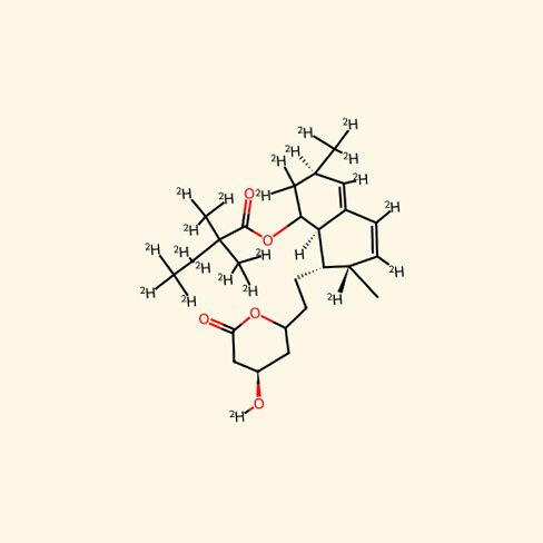 [2H]O[C@H]1CC(=O)OC(CC[C@@H]2[C@@H]3C(=C([2H])[C@]([2H])(C([2H])([2H])[2H])C([2H])([2H])C3OC(=O)C(C([2H])([2H])[2H])(C([2H])([2H])[2H])C([2H])([2H])C([2H])([2H])[2H])C([2H])=C([2H])[C@]2([2H])C)C1